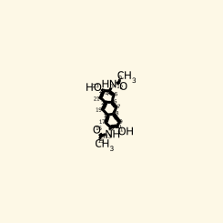 CC(=O)Nc1cc2cc3cc(O)c(NC(C)=O)cc3cc2cc1O